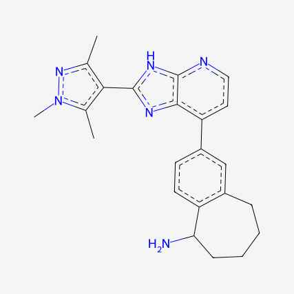 Cc1nn(C)c(C)c1-c1nc2c(-c3ccc4c(c3)CCCCC4N)ccnc2[nH]1